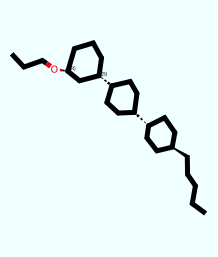 CCCCC[C@H]1CC[C@H](C2CCC([C@H]3CCC[C@@H](OCCC)C3)CC2)CC1